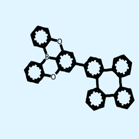 c1ccc2c(c1)Oc1cc(-c3ccc4c(c3)-c3ccccc3-c3ccccc3-c3ccccc3-4)cc3c1B2c1ccccc1O3